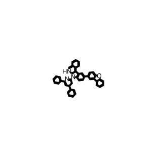 C1=C(c2ccccc2)N=C(N2c3ccc(-c4ccc5oc6ccccc6c5c4)cc3C3=c4ccccc4=CNC32)CC1c1ccccc1